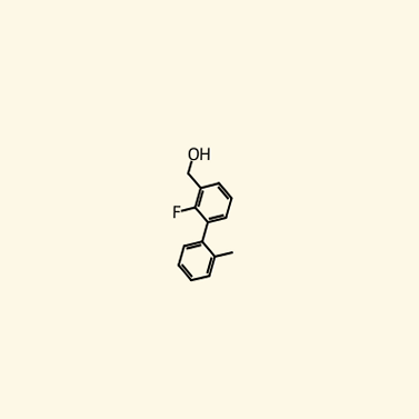 Cc1ccccc1-c1cccc(CO)c1F